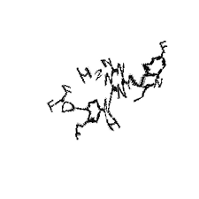 CCc1nc2cc(F)ccc2n1-c1nc(N)nc(Nc2ccc(OC(F)F)c(F)c2)n1